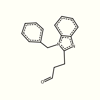 O=CCCc1nc2ccccc2n1Cc1ccccc1